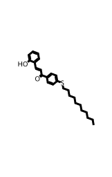 CCCCCCCCCCCSc1ccc(C(=O)C=Cc2ccccc2O)cc1